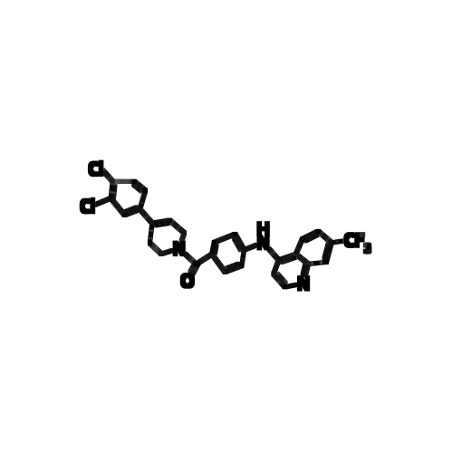 O=C(c1ccc(Nc2ccnc3cc(C(F)(F)F)ccc23)cc1)N1CC=C(c2ccc(Cl)c(Cl)c2)CC1